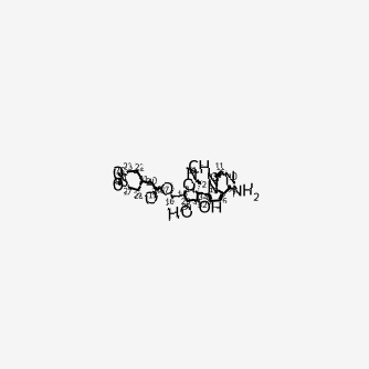 CN=C[C@@]1(c2ccc3c(N)ncnn23)O[C@H](COC(=O)CC2CCS(=O)(=O)CC2)[C@@H](O)[C@H]1O